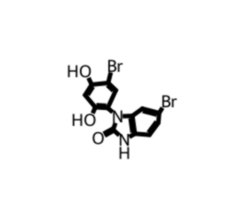 O=c1[nH]c2ccc(Br)cc2n1-c1cc(Br)c(O)cc1O